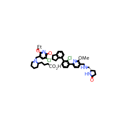 CCOc1nc(O[C@H]2CCc3c(-c4cccc(-c5ccc(CNC[C@@H]6CCC(=O)N6)c(OC)n5)c4Cl)cccc32)c(Cl)cc1CN1CCCCC1CCCC(=O)O